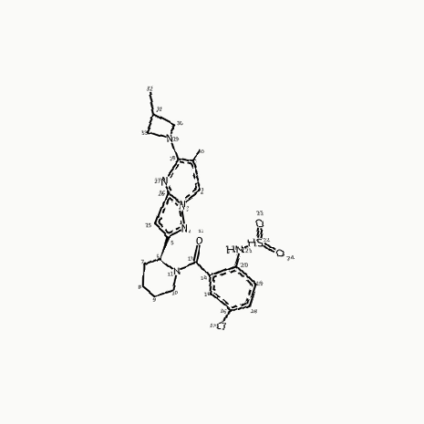 Cc1cn2nc([C@@H]3CCCCN3C(=O)c3cc(Cl)ccc3N[SH](=O)=O)cc2nc1N1CC(C)C1